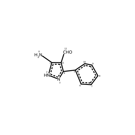 Nc1[nH]nc(-c2ccccc2)c1C=O